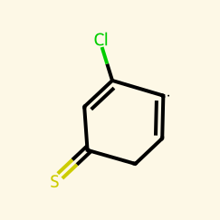 S=C1C=C(Cl)[C]=CC1